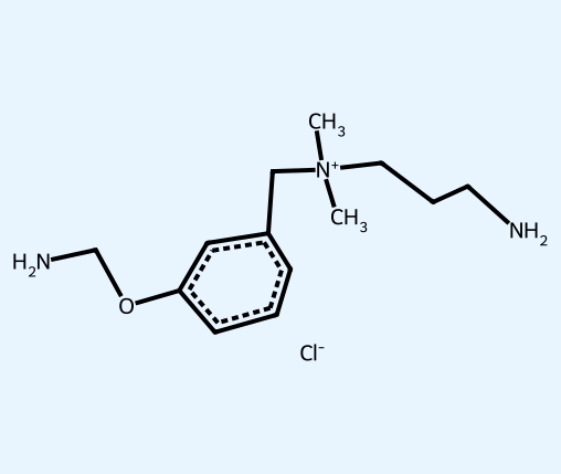 C[N+](C)(CCCN)Cc1cccc(OCN)c1.[Cl-]